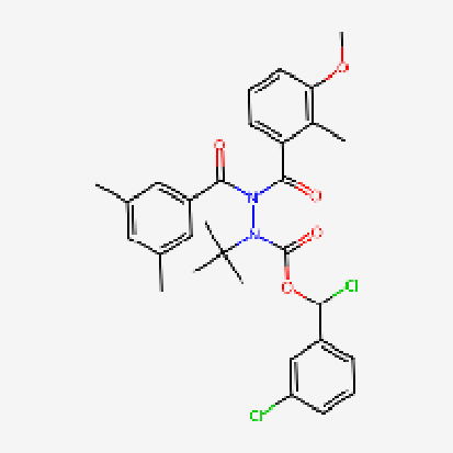 COc1cccc(C(=O)N(C(=O)c2cc(C)cc(C)c2)N(C(=O)OC(Cl)c2cccc(Cl)c2)C(C)(C)C)c1C